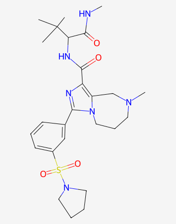 CNC(=O)C(NC(=O)c1nc(-c2cccc(S(=O)(=O)N3CCCC3)c2)n2c1CN(C)CCC2)C(C)(C)C